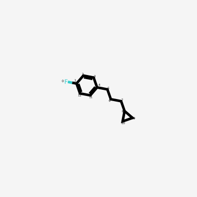 Fc1ccc(CCCC2CC2)cc1